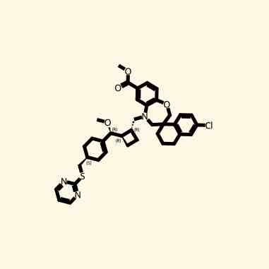 COC(=O)c1ccc2c(c1)N(C[C@@H]1CC[C@H]1[C@@H](OC)C1=CC[C@@H](CSc3ncccn3)CC1)CC1(CCCc3cc(Cl)ccc31)CO2